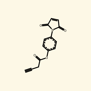 C#CCC(=O)Oc1ccc(N2C(=O)C=CC2=O)cc1